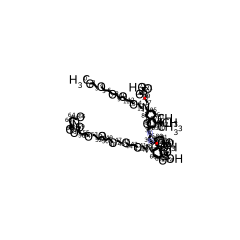 COCCOCCOCCOCCOCCN(CCCS(=O)(=O)O)c1ccc2c(C(C)(C)C)cc(/C=C/C=C3/N(CCOCCOCCOCCOCCOCCC(=O)ON4C(=O)CCC4=O)c4ccc(S(=O)(=O)O)cc4C3(C)CCCS(=O)(=O)O)[o+]c2c1